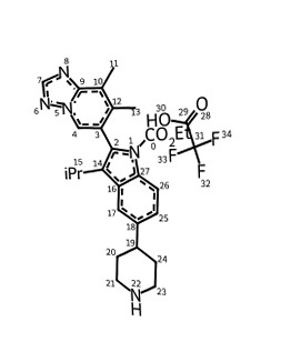 CCOC(=O)n1c(-c2cn3ncnc3c(C)c2C)c(C(C)C)c2cc(C3CCNCC3)ccc21.O=C(O)C(F)(F)F